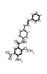 COc1cc(N)c([N+](=O)[O-])cc1C(=O)NC1CCN(CC=Cc2ccccc2)CC1